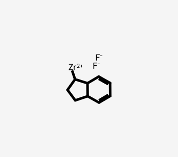 [F-].[F-].[Zr+2][CH]1CCC2C=CC=CC12